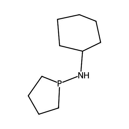 C1CCC(NP2CCCC2)CC1